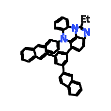 CCc1nc2ccc(-c3cc(-c4ccc5ccccc5c4)cc(-c4ccc5ccccc5c4)c3)c3c2n1-c1ccccc1N3c1ccccc1